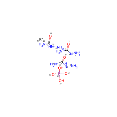 NC(=O)[N-][NH3+].NNC(N)=O.NNC(N)=O.O=P([O-])(O)O.[K+]